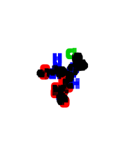 CN(c1ccc(S(=O)(=O)NC(=O)c2ccc(N3CCN(CC4=C(c5ccc(Cl)cc5)CC(C)(C)CC4)CC3)cc2Oc2ccc3[nH]cc(CCNC(=O)OC(C)(C)C)c3c2)cc1[N+](=O)[O-])C1CCOCC1